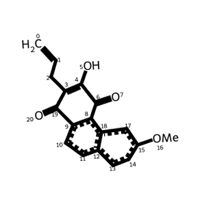 C=CCC1=C(O)C(=O)c2c(ccc3ccc(OC)cc23)C1=O